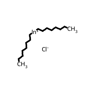 CCCCCCC[CH2][In+][CH2]CCCCCCC.[Cl-]